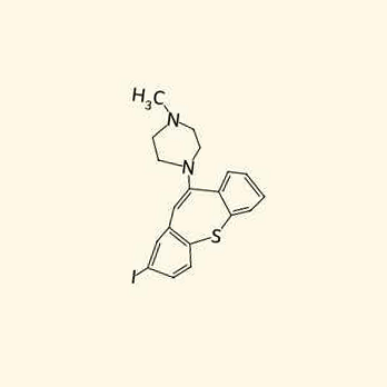 CN1CCN(C2=Cc3cc(I)ccc3Sc3ccccc32)CC1